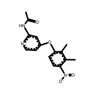 CC(=O)Nc1cc(Oc2ccc([N+](=O)[O-])c(C)c2C)ccn1